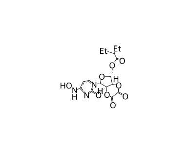 CCC(CC)C(=O)OC[C@H]1O[C@@H](n2ccc(NO)nc2=O)[C@@H]2OC(=O)C(=O)O[C@@H]21